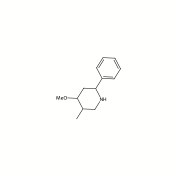 COC1CC(c2ccccc2)NCC1C